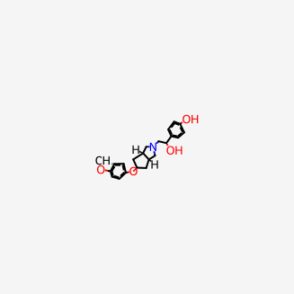 COc1ccc(O[C@H]2C[C@@H]3CN(C[C@H](O)c4ccc(O)cc4)C[C@@H]3C2)cc1